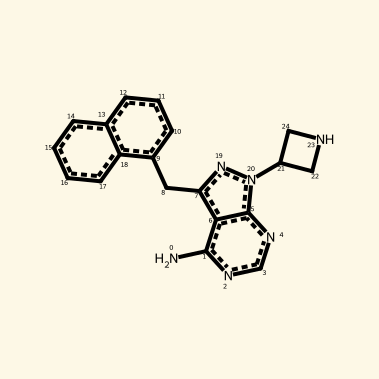 Nc1ncnc2c1c(Cc1cccc3ccccc13)nn2C1CNC1